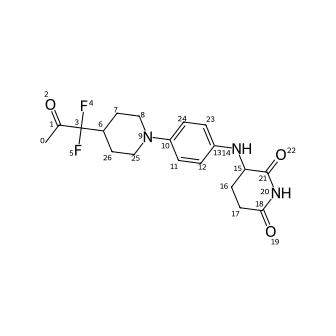 CC(=O)C(F)(F)C1CCN(c2ccc(NC3CCC(=O)NC3=O)cc2)CC1